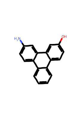 Nc1ccc2c3ccccc3c3ccc(O)cc3c2c1